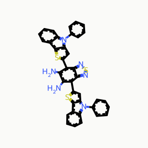 Nc1c(N)c(-c2cc3c(s2)c2ccccc2n3-c2ccccc2)c2nsnc2c1-c1cc2c(s1)c1ccccc1n2-c1ccccc1